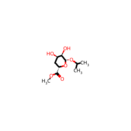 COC(=O)[C@@H]1C[C@@H](O)[C@@H](O)[C@H](OC(C)C)O1